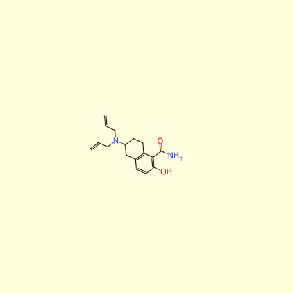 C=CCN(CC=C)C1CCc2c(ccc(O)c2C(N)=O)C1